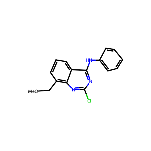 COCc1cccc2c(Nc3ccccc3)nc(Cl)nc12